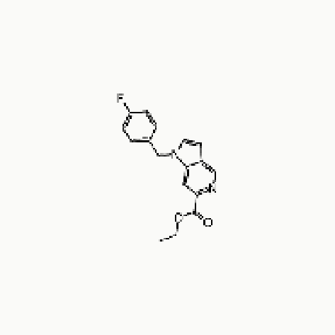 CCOC(=O)c1cc2c(ccn2Cc2ccc(F)cc2)cn1